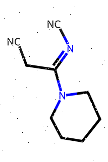 N#CC/C(=N\C#N)N1CCCCC1